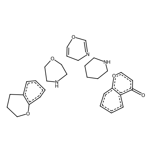 C1=COC=NC1.C1CCNCC1.C1COCCN1.O=c1ccoc2ccccc12.c1ccc2c(c1)CCCO2